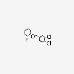 Fc1c[c]ccc1OCc1ccc(Cl)c(Cl)c1